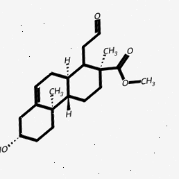 COC(=O)[C@@]1(C)CC[C@H]2[C@@H](CC=C3C[C@@H](O)CC[C@@]32C)C1CC=O